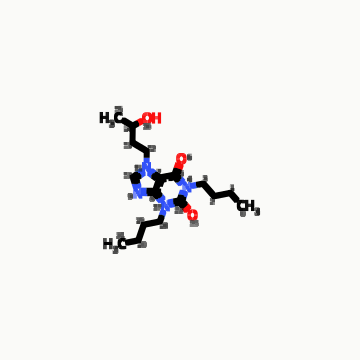 CCCCn1c(=O)c2c(ncn2CCC(C)O)n(CCCC)c1=O